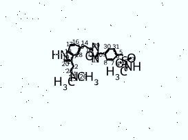 CNS(=O)(=O)Cc1ccc(-c2noc(Cc3ccc4[nH]cc(CCN(C)C)c4c3)n2)cc1